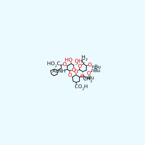 C=CC1CC(C(=O)O)C[C@@H](O[C@@H]2O[C@@H](CO)[C@H](O)C(O[C@@H](CC3CCCCC3)C(=O)O)C2NC(C)=O)[C@@H]1OC1O[C@@H](C)C(OCCCC)[C@H](OCCCC)[C@@H]1OCCCC